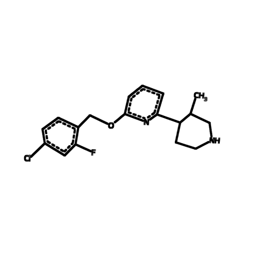 CC1CNCCC1c1cccc(OCc2ccc(Cl)cc2F)n1